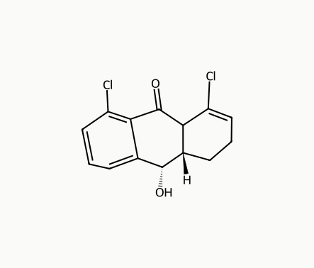 O=C1c2c(Cl)cccc2[C@@H](O)[C@H]2CCC=C(Cl)C12